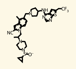 Cc1c(CN2CCC(Nc3ncnc4sc(CC(F)(F)F)cc34)CC2)ccc2c1cc(C#N)n2CC(C)N1CCN([S+]([O-])C2CC2)CC1